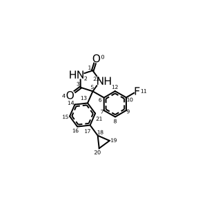 O=C1NC(=O)C(c2cccc(F)c2)(c2cccc(C3CC3)c2)N1